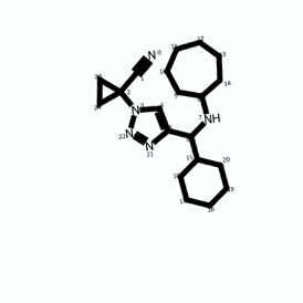 N#CC1(n2cc(C(NC3CCCCCC3)C3CCCCC3)nn2)CC1